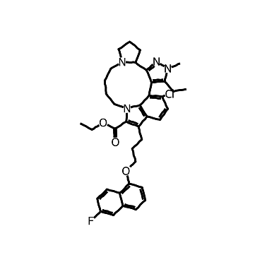 CCOC(=O)c1c(CCCOc2cccc3cc(F)ccc23)c2ccc(Cl)c3c2n1CCCCN1CCCC1c1nn(C)c(CC)c1-3